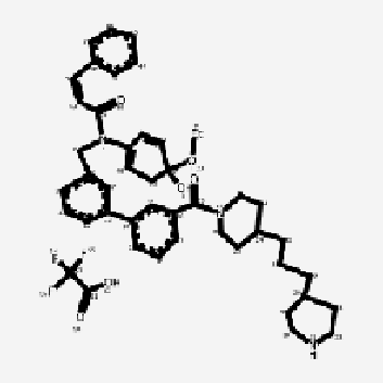 CCOC1(O)C=CC(N(Cc2cccc(-c3cccc(C(=O)N4CCC(CCCC5CCNCC5)CC4)c3)c2)C(=O)C=Cc2ccccc2)=CC1.O=C(O)C(F)(F)F